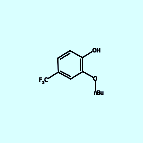 CCCCOc1cc(C(F)(F)F)ccc1O